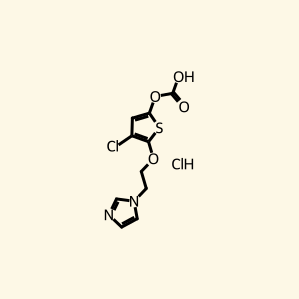 Cl.O=C(O)Oc1cc(Cl)c(OCCn2ccnc2)s1